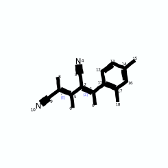 C/C(=C(C#N)\C(C)=C(/C)C#N)c1ccc(C)cc1C